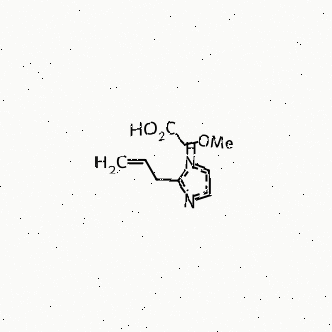 C=CCc1ncc[nH]1.COCC(=O)O